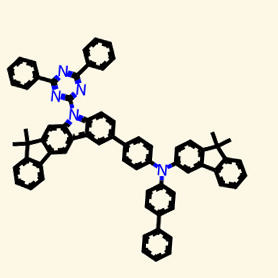 CC1(C)c2ccccc2-c2cc(N(c3ccc(-c4ccccc4)cc3)c3ccc(-c4ccc5c(c4)c4cc6c(cc4n5-c4nc(-c5ccccc5)nc(-c5ccccc5)n4)C(C)(C)c4ccccc4-6)cc3)ccc21